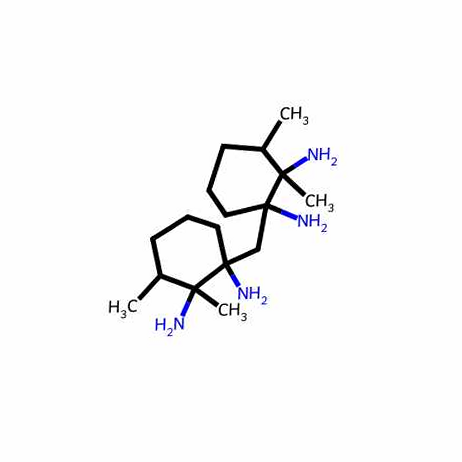 CC1CCCC(N)(CC2(N)CCCC(C)C2(C)N)C1(C)N